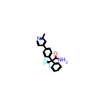 Cc1cc(-c2ccc(C(C(N)=O)(c3ccccc3)C(F)(F)F)cc2)ccn1